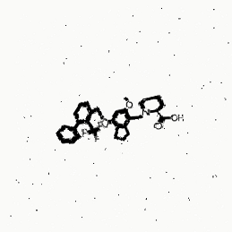 COc1cc(OCc2cccc(-c3ccccc3)c2C(F)(F)F)c2c(c1CN1CCCC[C@H]1C(=O)O)CCC2